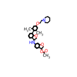 CC(=O)O[C@@H]1COc2cc(N[C@@H]3COc4c(-c5c(C)cc(OCCN6CCCCCC6)cc5C)cccc43)ccc21